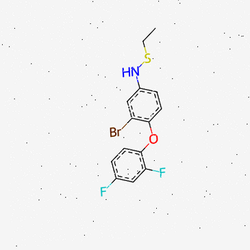 CCSNc1ccc(Oc2ccc(F)cc2F)c(Br)c1